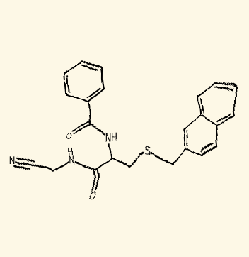 N#CCNC(=O)C(CSCc1ccc2ccccc2c1)NC(=O)c1ccccc1